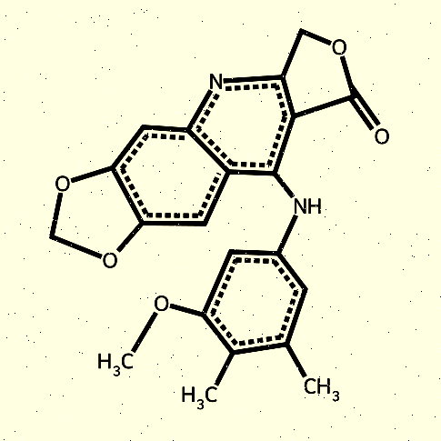 COc1cc(Nc2c3c(nc4cc5c(cc24)OCO5)COC3=O)cc(C)c1C